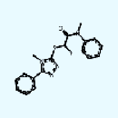 CN(C(=O)C(F)Sc1nnc(-c2ccccc2)n1C)c1ccccc1